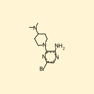 CN(C)C1CCN(c2nc(Br)cnc2N)CC1